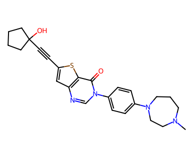 CN1CCCN(c2ccc(-n3cnc4cc(C#CC5(O)CCCC5)sc4c3=O)cc2)CC1